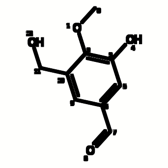 COc1c(O)cc(C=O)cc1CO